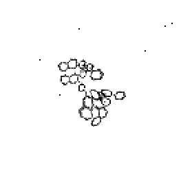 c1ccc(Op2oc3ccc4ccccc4c3c3c(o2)c(COCc2cc4ccccc4c4c2op(Oc2ccccc2)oc2ccc5ccccc5c24)cc2ccccc23)cc1